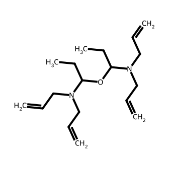 C=CCN(CC=C)C(CC)OC(CC)N(CC=C)CC=C